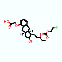 CC[C@@H](CC[C@@H]1[C@H]2Cc3cccc(OCC(=O)O)c3C[C@H]2C[C@H]1O)OC(=O)OCCF